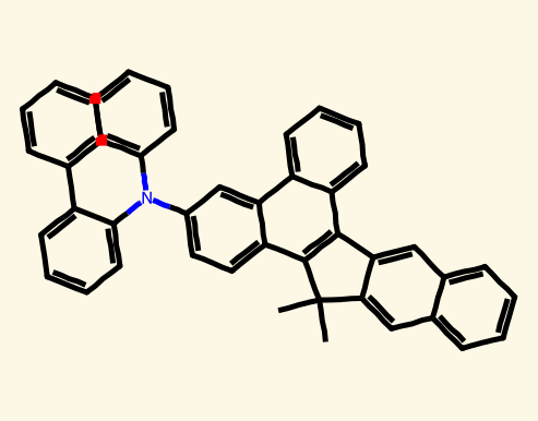 CC1(C)c2cc3ccccc3cc2-c2c1c1ccc(N(c3ccccc3)c3ccccc3-c3ccccc3)cc1c1ccccc21